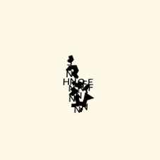 CCSc1ccc(CNc2nc3cnc(-c4c(C)ncnc4C4CC4)nc3n([C@H](C)C(F)(F)F)c2=O)nc1